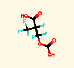 O=C(O)OC(F)(F)C(F)(C(=O)O)C(F)(F)F